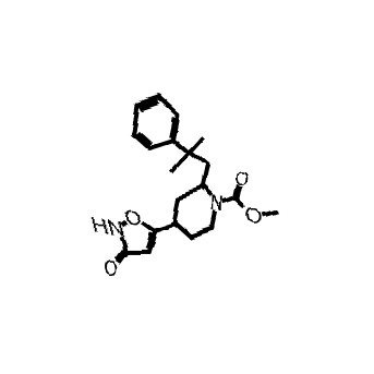 COC(=O)N1CCC(c2cc(=O)[nH]o2)CC1CC(C)(C)c1ccccc1